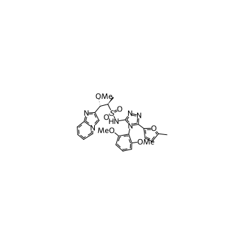 COc1cccc(OC)c1-n1c(NS(=O)(=O)[C@H](C)[C@@H](OC)c2cn3ccccc3n2)nnc1-c1ccc(C)o1